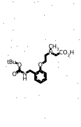 CN(CCOc1ccccc1CNC(=O)OC(C)(C)C)CC(=O)O